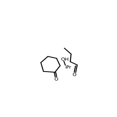 CC(C)O.CCCC=O.O=C1CCCCC1